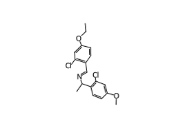 CCOc1ccc(C=NC(C)c2ccc(OC)cc2Cl)c(Cl)c1